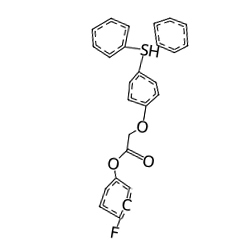 O=C(COc1ccc([SH](c2ccccc2)c2ccccc2)cc1)Oc1ccc(F)cc1